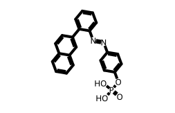 O=P(O)(O)Oc1ccc(N=Nc2ccccc2-c2ccc3ccccc3c2)cc1